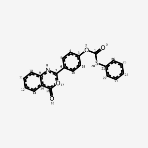 O=C(Oc1ccc(-c2nc3ccccc3c(=O)o2)cc1)Sc1ccccc1